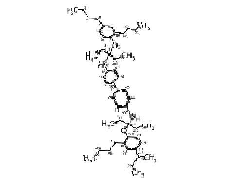 CCCCc1ccc(OC(CC)(CC)Pc2ccc(-c3ccc(PC(CC)(CC)Oc4ccc(C(C)CC)cc4CCCC)cc3)cc2)c(CCCC)c1